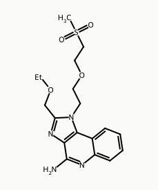 CCOCc1nc2c(N)nc3ccccc3c2n1CCOCCS(C)(=O)=O